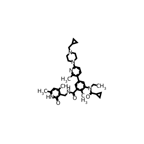 CCN(C(=O)C1CC1)c1cc(-c2ccc(N3CCN(CC4CC4)CC3)nc2C)cc(C(=O)NCc2c(C)cc(C)[nH]c2=O)c1C